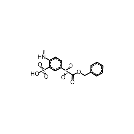 CNc1ccc(S(=O)(=O)C(=O)OCc2ccccc2)cc1S(=O)(=O)O